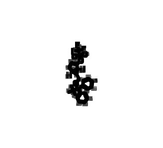 CC(C)(C)[Si](OC[C@H]1[C@H]2CC=C(OS(=O)(=O)C(F)(F)F)[C@H]21)(c1ccccc1)c1ccccc1